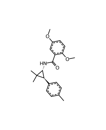 COc1ccc(OC)c(C(=O)N[C@@H]2[C@@H](c3ccc(C)cc3)C2(C)C)c1